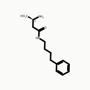 N[C@@H](CC(=O)NCCCCc1ccccc1)C(=O)O